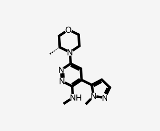 CNc1nnc(N2CCOC[C@H]2C)cc1-c1ccnn1C